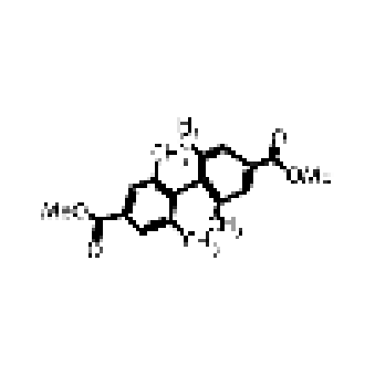 COC(=O)c1cc(C)c(-c2c(C)cc(C(=O)OC)cc2C)c(C)c1